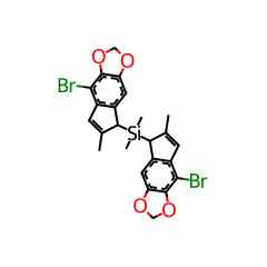 CC1=Cc2c(cc3c(c2Br)OCO3)C1[Si](C)(C)C1C(C)=Cc2c1cc1c(c2Br)OCO1